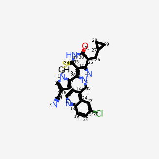 Cn1cc(C#N)cc1-c1c2c(nn1Cc1ccnc3ccc(Cl)cc13)C(CC1CC1)C(=O)NC2=S